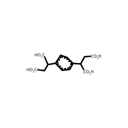 O=C(O)CC(C(=O)O)c1ccc(C(CC(=O)O)C(=O)O)cc1